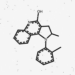 Cc1ccccc1N1c2c(c(O)nc3ccccc23)CC1C